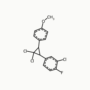 COc1ccc(C2C(c3ccc(F)c(Cl)c3)C2(Cl)Cl)cc1